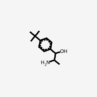 CC(N)C(O)c1ccc(C(C)(C)C)cc1